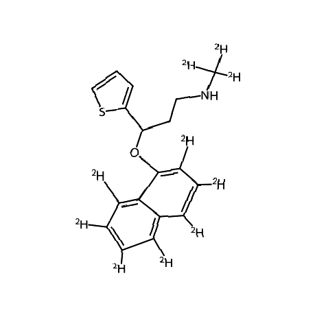 [2H]c1c([2H])c([2H])c2c(OC(CCNC([2H])([2H])[2H])c3cccs3)c([2H])c([2H])c([2H])c2c1[2H]